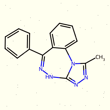 Cc1nnc2n1-c1ccccc1C(c1ccccc1)=NN2